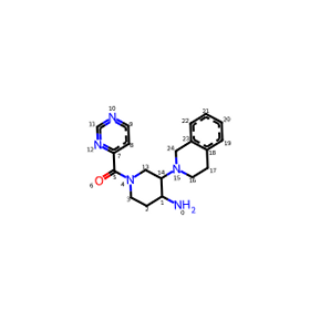 NC1CCN(C(=O)c2ccncn2)CC1N1CCc2ccccc2C1